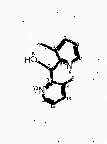 Cc1cccnc1C(O)c1ncccc1C